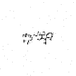 C/C=C(/Nc1ccncn1)C(=O)N(C)CCN(CCC)CC(F)(F)F